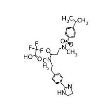 CC(C)c1ccc(S(=O)(=O)N(C)CCC(=O)N(C)CCc2ccc(C3=NCCN3)cc2)cc1.O=C(O)C(F)(F)F